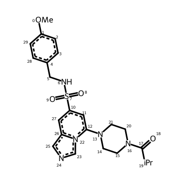 COc1ccc(CNS(=O)(=O)c2cc(N3CCN(C(=O)C(C)C)CC3)n3cncc3c2)cc1